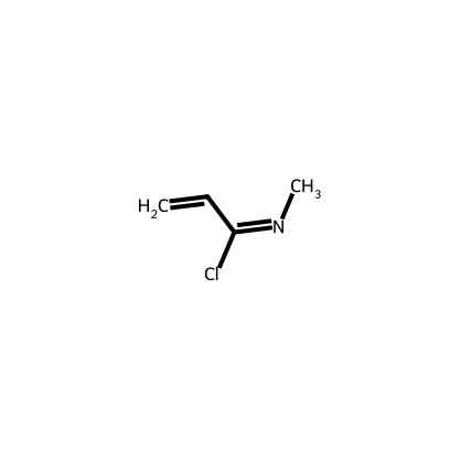 C=C/C(Cl)=N\C